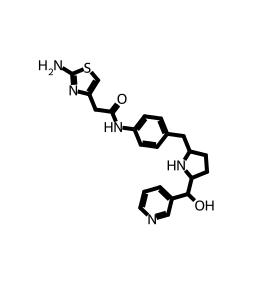 Nc1nc(CC(=O)Nc2ccc(CC3CCC(C(O)c4cccnc4)N3)cc2)cs1